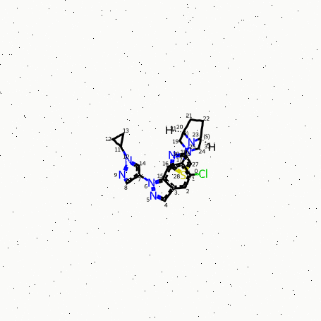 Clc1cc2cnn(-c3cnn(C4CC4)c3)c2cc1N1C[C@H]2CC[C@@H](C1)N2c1cscn1